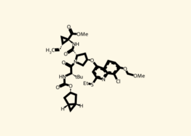 C=C[C@@H]1C[C@]1(NC(=O)[C@@H]1C[C@@H](Oc2cc(SCC)nc3c(Cl)c(OCOC)ccc23)CN1C(=O)[C@@H](NC(=O)O[C@@H]1C[C@@H]2C[C@@H]2C1)C(C)(C)C)C(=O)OC